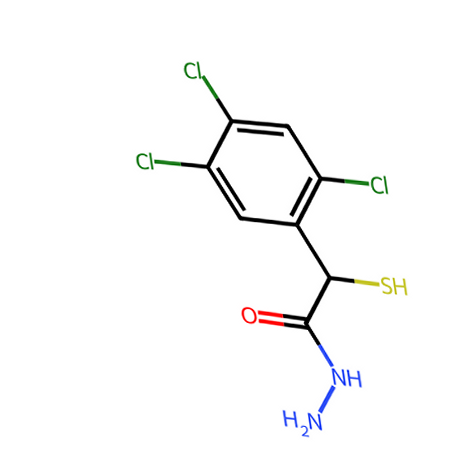 NNC(=O)C(S)c1cc(Cl)c(Cl)cc1Cl